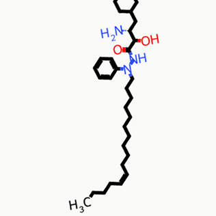 CCCC/C=C\CCCCCCCCCCN(NC(=O)C(O)[C@H](N)CC1CCCCC1)c1ccccc1